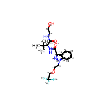 CC(C)(C)[C@H](NC(=O)c1nn(CCOCC(F)(F)F)c2ccccc12)C(=O)NCCO